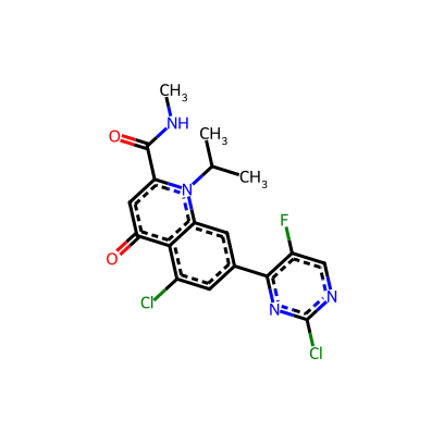 CNC(=O)c1cc(=O)c2c(Cl)cc(-c3nc(Cl)ncc3F)cc2n1C(C)C